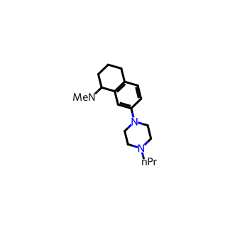 CCCN1CCN(c2ccc3c(c2)C(NC)CCC3)CC1